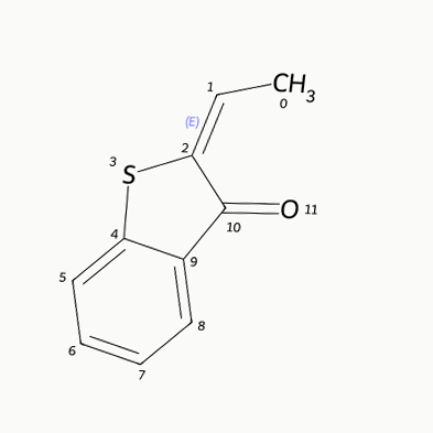 C/C=C1/Sc2ccccc2C1=O